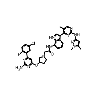 Cc1cnc(Nc2cc(C)n(C)n2)nc1-c1c[nH]c2c(NC(=O)CN3CCC(Oc4cc(-c5cc(Cl)ccc5F)nc(N)n4)C3)cccc12